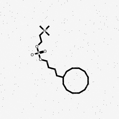 C[N+](C)(C)CCOP(=O)([O-])OCCCCC1CCCCCCCCCCC1